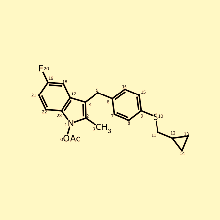 CC(=O)On1c(C)c(Cc2ccc(SCC3CC3)cc2)c2cc(F)ccc21